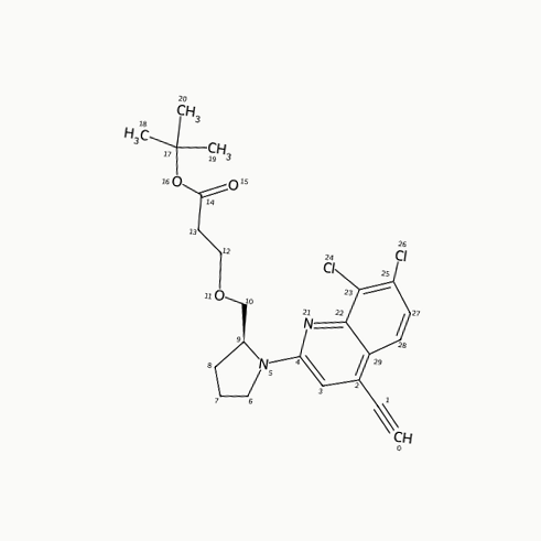 C#Cc1cc(N2CCC[C@H]2COCCC(=O)OC(C)(C)C)nc2c(Cl)c(Cl)ccc12